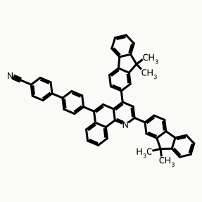 CC1(C)c2ccccc2-c2ccc(-c3cc(-c4ccc5c(c4)C(C)(C)c4ccccc4-5)c4cc(-c5ccc(-c6ccc(C#N)cc6)cc5)c5ccccc5c4n3)cc21